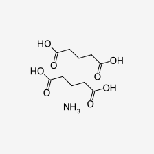 N.O=C(O)CCCC(=O)O.O=C(O)CCCC(=O)O